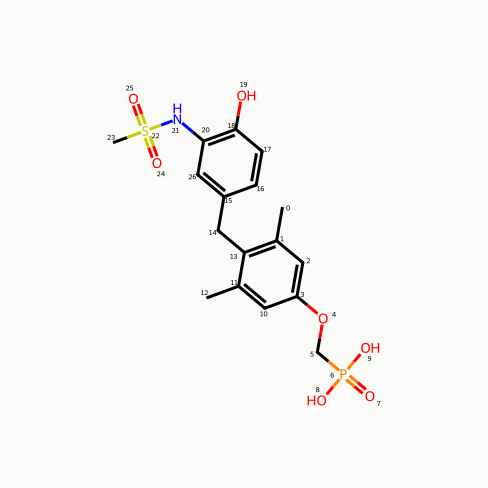 Cc1cc(OCP(=O)(O)O)cc(C)c1Cc1ccc(O)c(NS(C)(=O)=O)c1